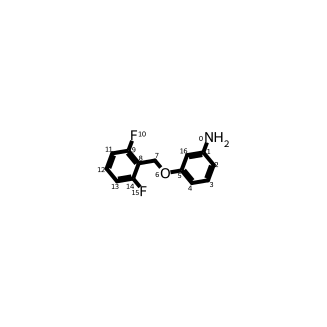 Nc1cccc(OCc2c(F)cccc2F)c1